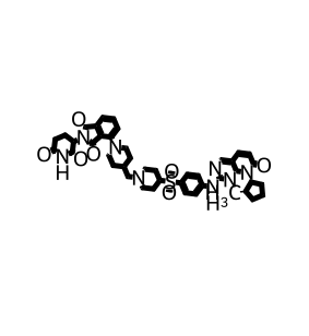 C[C@H]1CCC[C@H]1n1c(=O)ccc2cnc(Nc3ccc(S(=O)(=O)C4CCN(CC5CCN(c6cccc7c6C(=O)N(C6CCC(=O)NC6=O)C7=O)CC5)CC4)cc3)nc21